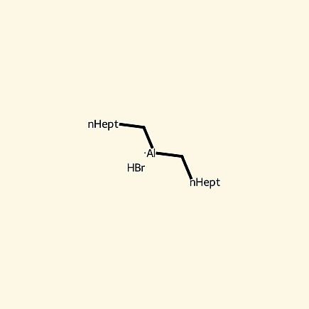 Br.CCCCCCC[CH2][Al][CH2]CCCCCCC